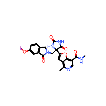 CNC(=O)c1cnc(C)c2cc([C@]3(CN4Cc5ccc(OI)cc5C4=O)NC(=O)NC3=O)oc12